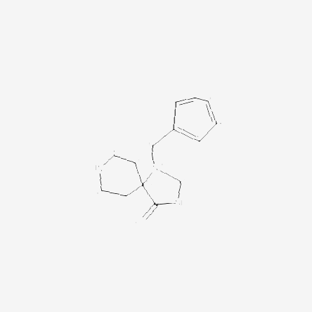 O=C1NCN(Cc2ccccc2)C12CCNCC2